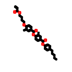 C=CC(=O)OCCCCOc1ccc(C(=O)Oc2ccc(C(=O)Oc3ccc(CCCCC)cc3)cc2C)cc1C